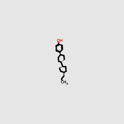 CCC[C@H]1CC[C@H]([C@H]2CC[C@H](c3ccc(O)cc3)CC2)CC1